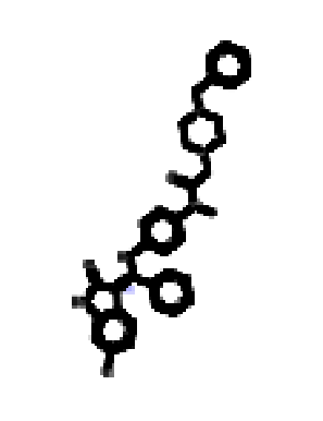 CN(C(=O)CN1CCN(Cc2ccccc2)CC1)c1ccc(N/C(=C2\C(=O)Nc3cc(Cl)ccc32)c2ccccc2)cc1